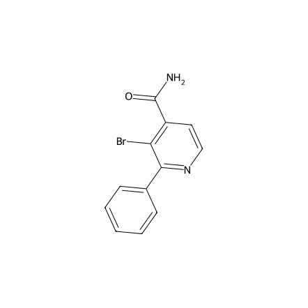 NC(=O)c1ccnc(-c2ccccc2)c1Br